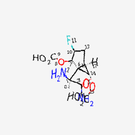 C[C@@](N)(C(N)=O)[C@@]12C(OC(=O)O)[C@@H](F)C[C@H]1[C@@H]2OC(=O)O